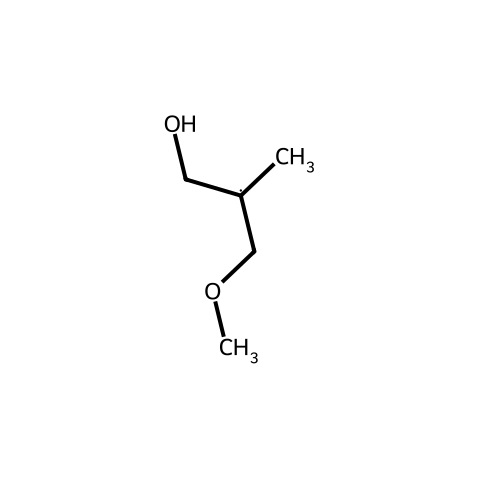 COC[C](C)CO